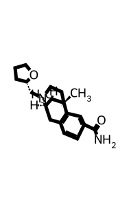 C[C@H]1[C@H]2Cc3ccc(C(N)=O)cc3[C@@]1(C)CCN2C[C@@H]1CCCO1